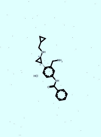 Cl.NCc1cc(NC(=O)c2ccccc2)ccc1[C@@H]1C[C@H]1NCC1CC1